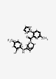 Cc1ccc(-n2nccn2)c(C(=O)N2CC3CC(Nc4ncc(C(F)(F)F)cc4F)C2C3)n1